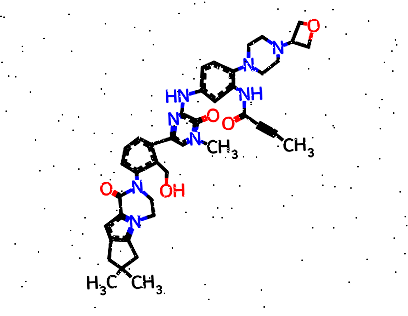 CC#CC(=O)Nc1cc(Nc2nc(-c3cccc(N4CCn5c(cc6c5CC(C)(C)C6)C4=O)c3CO)cn(C)c2=O)ccc1N1CCN(C2COC2)CC1